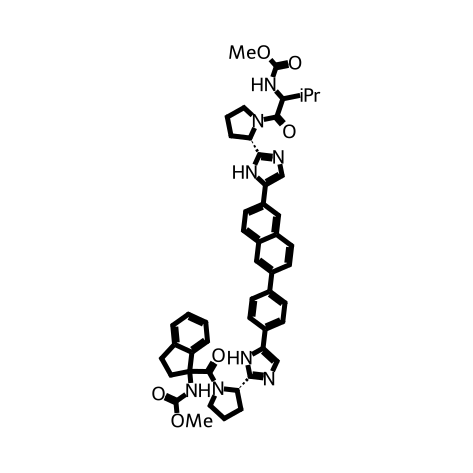 COC(=O)NC(C(=O)N1CCC[C@H]1c1ncc(-c2ccc3cc(-c4ccc(-c5cnc([C@@H]6CCCN6C(=O)C6(NC(=O)OC)CCc7ccccc76)[nH]5)cc4)ccc3c2)[nH]1)C(C)C